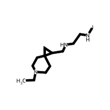 CCN1CCC2(CC1)CC2CNCCNI